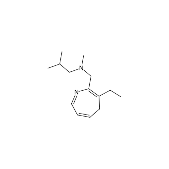 CCC1=C(CN(C)CC(C)C)N=CC=CC1